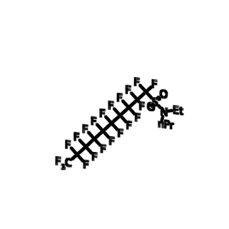 [CH2]CCN(CC)S(=O)(=O)C(F)(F)C(F)(F)C(F)(F)C(F)(F)C(F)(F)C(F)(F)C(F)(F)C(F)(F)C(F)(F)C(F)(F)F